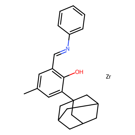 Cc1cc(C=Nc2ccccc2)c(O)c(C23CC4CC(CC(C4)C2)C3)c1.[Zr]